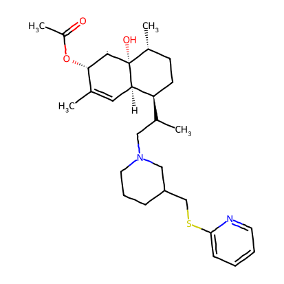 CC(=O)O[C@@H]1[CH][C@@]2(O)[C@H](C)CC[C@@H](C(C)CN3CCCC(CSc4ccccn4)C3)[C@H]2C=C1C